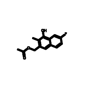 CC(=O)OCc1cc2ccc(F)cc2c(O)c1C